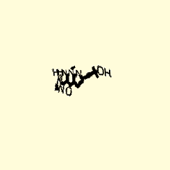 CCn1c(N)c(-c2ncc[nH]2)c(=O)c2ccc(C#CC(C)(C)O)nc21